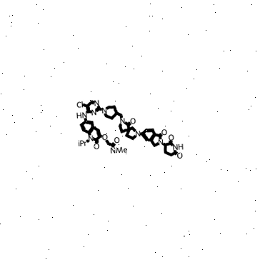 CNC(=O)COc1cc2cc(Nc3nc(N4CCC(CN5CCC6(CCN(c7ccc8c(c7)CN(C7CCC(=O)NC7=O)C8=O)C6)C5=O)CC4)ncc3Cl)ccc2n(C(C)C)c1=O